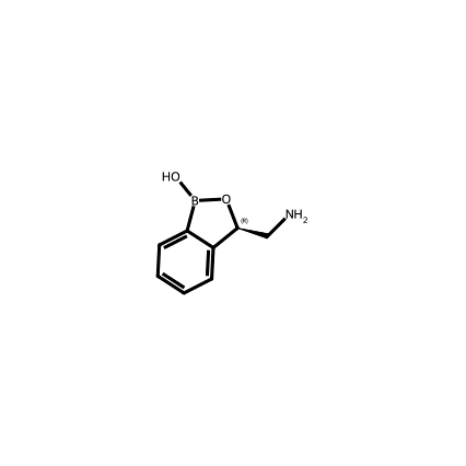 NC[C@@H]1OB(O)c2ccccc21